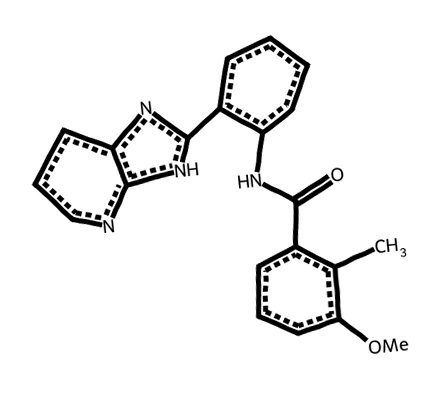 COc1cccc(C(=O)Nc2ccccc2-c2nc3cccnc3[nH]2)c1C